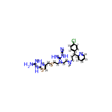 CN(CCC(c1ccc(Cl)cc1)c1ccccn1)CCN(CCSCc1csc(NC(=N)N)n1)C(=N)NC#N